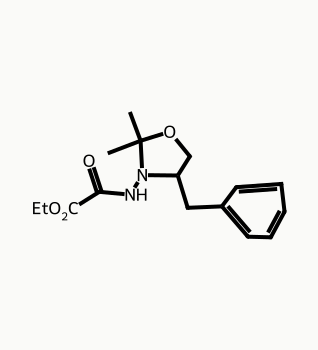 CCOC(=O)C(=O)NN1C(Cc2ccccc2)COC1(C)C